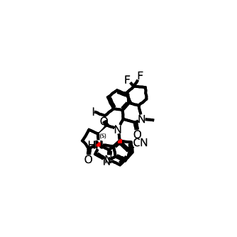 CN(C(=O)C(c1ccccc1CI)N(C(=O)[C@@H]1CCC(=O)N1c1cc(C#N)ccn1)c1cccc2nc[nH]c12)C1CCC(F)(F)CC1